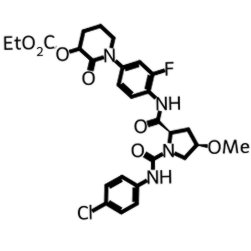 CCOC(=O)OC1CCCN(c2ccc(NC(=O)[C@H]3C[C@@H](OC)CN3C(=O)Nc3ccc(Cl)cc3)c(F)c2)C1=O